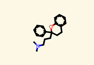 CN(C)CCCC1(c2ccccc2)CCc2ccccc2O1